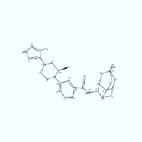 Cc1n[nH]cc1N1CCN(c2nccc(C(=O)NC3C4CC5CC3CC(O)(C5)C4)n2)[C@H](C)C1